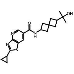 CC(C)(O)C1CC2(CC(NC(=O)c3cnc4nc(C5CC5)sc4c3)C2)C1